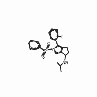 CC(C)NC1CCc2c1cn(S(=O)(=O)c1cccnc1)c2-c1ccccc1F